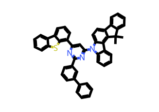 CC1(C)c2ccccc2-c2ccc3c(c21)c1ccccc1n3-c1cc(-c2cccc3c2sc2ccccc23)nc(-c2cccc(-c3ccccc3)c2)n1